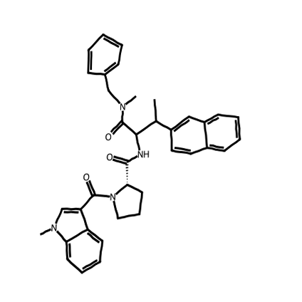 CC(c1ccc2ccccc2c1)C(NC(=O)[C@@H]1CCCN1C(=O)c1cn(C)c2ccccc12)C(=O)N(C)Cc1ccccc1